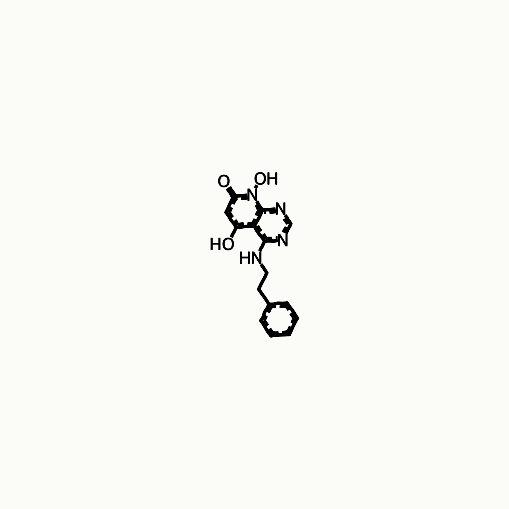 O=c1cc(O)c2c(NCCc3ccccc3)ncnc2n1O